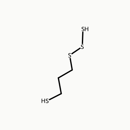 SCCCSSS